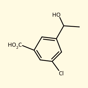 CC(O)c1cc(Cl)cc(C(=O)O)c1